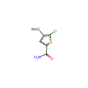 COc1cc(C(N)=O)sc1Cl